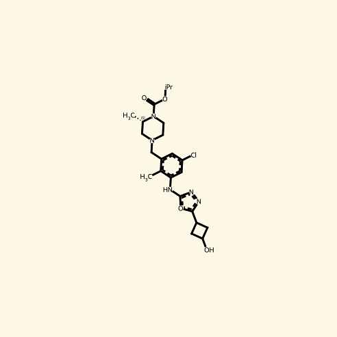 Cc1c(CN2CCN(C(=O)OC(C)C)[C@@H](C)C2)cc(Cl)cc1Nc1nnc(C2CC(O)C2)o1